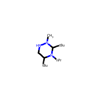 CCCN1C(C(C)(C)C)CNN(C)C1C(C)(C)C